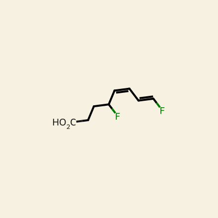 O=C(O)CCC(F)/C=C\C=C\F